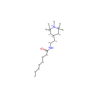 CCCCCCCC(=O)NCCC1CC(C)(C)N(C)C(C)(C)C1